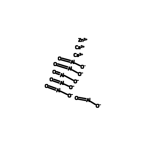 [Ca+2].[Ca+2].[O]=[Al][O-].[O]=[Al][O-].[O]=[Al][O-].[O]=[Al][O-].[O]=[Al][O-].[O]=[Al][O-].[Zn+2]